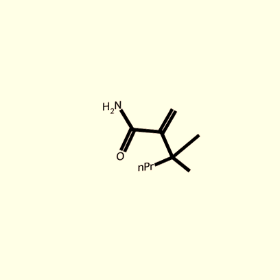 C=C(C(N)=O)C(C)(C)CCC